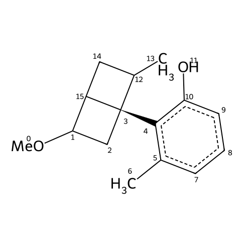 COC1C[C@@]2(c3c(C)cccc3O)C(C)CC12